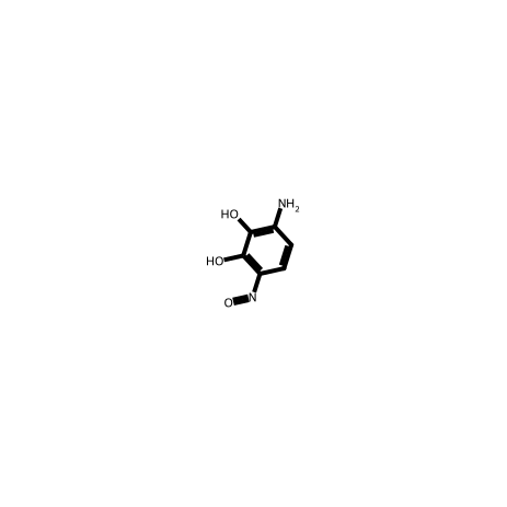 Nc1ccc(N=O)c(O)c1O